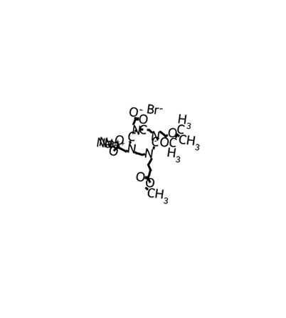 CCOC(=O)CCCN1CCN(CC(=O)[O-])CCN(CC(=O)[O-])CCN(CC(=O)OC(C)(C)C)CC1.[Br-].[Na+].[Na+].[Na+]